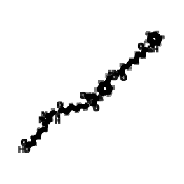 O=C(O)CCCCCn1cc(CNC(=O)CCCCCN2C(=O)CC(Sc3ccc(CONC(=O)CCCCCCC(=O)Nc4ccccc4)cc3)C2=O)nn1